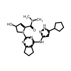 CN(C)C(=O)C1=CC(O)CN1c1nc2c(c(Nc3cc(C4CCCC4)[nH]n3)n1)CCC2